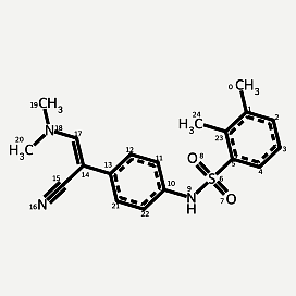 Cc1cccc(S(=O)(=O)Nc2ccc(C(C#N)=CN(C)C)cc2)c1C